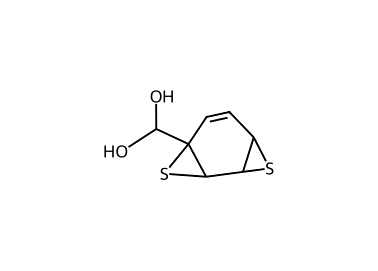 OC(O)C12C=CC3SC3C1S2